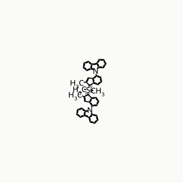 CC1=Cc2c(cccc2-n2c3ccccc3c3ccccc32)[C@@H]1[Si](C)(C)[C@H]1C(C)=Cc2c1cccc2-n1c2ccccc2c2ccccc21